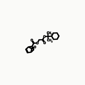 CC(C)(OC(=O)COC(=O)C1CC2C=CC1C2=O)C1CCCCC1